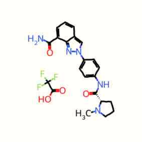 CN1CCC[C@H]1C(=O)Nc1ccc(-n2cc3cccc(C(N)=O)c3n2)cc1.O=C(O)C(F)(F)F